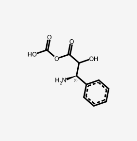 N[C@H](c1ccccc1)C(O)C(=O)OC(=O)O